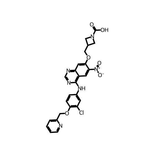 O=C(O)N1CC(COc2cc3ncnc(Nc4ccc(OCc5ccccn5)c(Cl)c4)c3cc2[N+](=O)[O-])C1